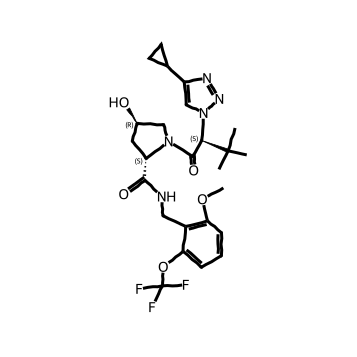 COc1cccc(OC(F)(F)F)c1CNC(=O)[C@@H]1C[C@@H](O)CN1C(=O)[C@@H](n1cc(C2CC2)nn1)C(C)(C)C